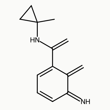 C=C(NC1(C)CC1)C1=CC=CC(=N)C1=C